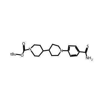 CC(C)(C)OC(=O)N1CCC(C2CCN(c3ccc(C(N)=S)cc3)CC2)CC1